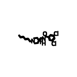 C/C=C/C=C/CN1CCC(F)(CNC(=O)c2cc(Cl)cc(Cl)c2)CC1